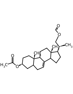 CC(=O)O[C@H]1CC[C@@]2(C)C(CC=C3C2CC[C@@]2(C)C3CCC2[C@H](C)COC=O)C1